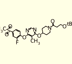 Cc1c(Oc2ccc(S(C)(=O)=O)cc2F)ncnc1OC1CCN(C(=O)CCOC(C)(C)C)CC1